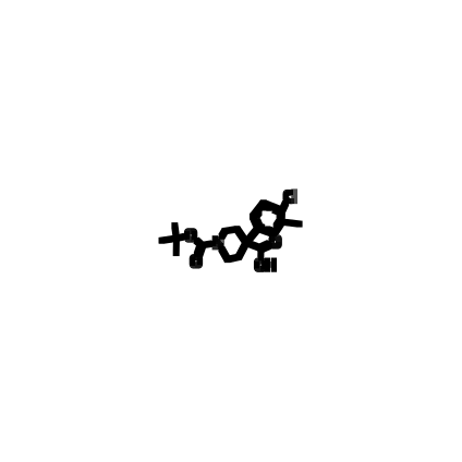 Cc1cc(C2(C(=O)O)CCN(C(=O)OC(C)(C)C)CC2)ccc1Cl